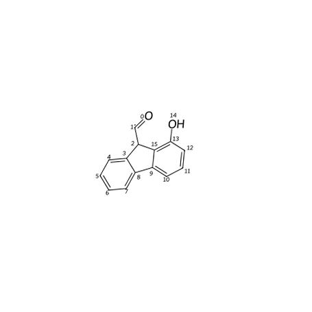 O=[C]C1c2ccccc2-c2cccc(O)c21